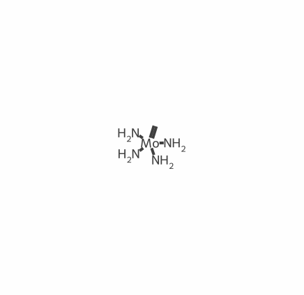 [CH2]=[Mo]([NH2])([NH2])([NH2])[NH2]